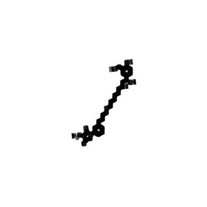 CN1C(=O)CN(c2cccc(CCCCOCCCCCCNC[C@H](O)c3ccc(O)c(CO)c3)c2)C1=O